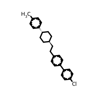 Cc1ccc([C@H]2CC[C@H](CCc3ccc(-c4ccc(Cl)cc4)cc3)CC2)cc1